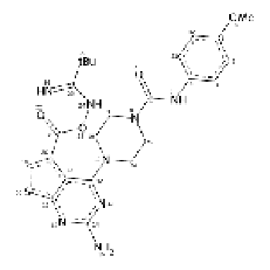 COc1ccc(NC(=O)N2CCN(c3nc(N)nc4scc(C(=O)ONC(=N)C(C)(C)C)c34)CC2)cc1